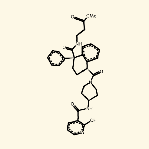 COC(=O)CCNC(=O)[C@@]1(c2ccccc2)CC[C@H](C(=O)N2CCC(NC(=O)c3cccnc3O)CC2)c2ccccc21